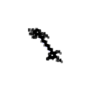 COc1cc(=O)oc(/C=C/C=C/C=C/C(C)=C/C2(C)OCC(C)(O)C2O)c1C